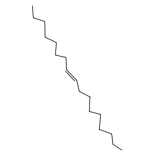 [CH2]CCCCCCCC=CCCCCCCC